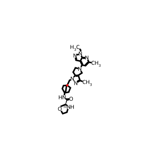 CCn1ncc2c(N3CCc4c(c(C)nn4CC45CCC(NC(=O)[C@@H]6COCCN6)(CC4)CC5)C3)cc(C)nc21